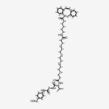 CC(C)[C@H](NC(=O)CCOCCOCCOCCOCCC(=O)NCCCCCC(=O)N1Cc2ccccc2/C=C\c2ccccc21)C(=O)NCC(=O)Nc1ccc(CO)cc1